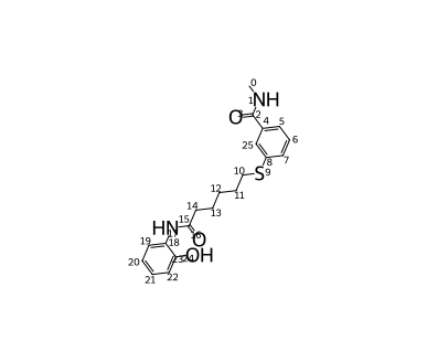 CNC(=O)c1cccc(SCCCCCC(=O)Nc2ccccc2O)c1